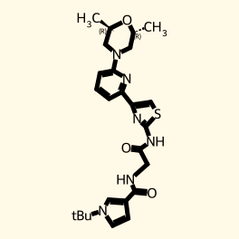 C[C@@H]1CN(c2cccc(-c3csc(NC(=O)CNC(=O)c4ccn(C(C)(C)C)c4)n3)n2)C[C@@H](C)O1